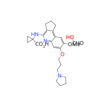 COc1cc2c3c(c(NC4(C(=O)O)CC4)nc2cc1OCCCN1CCCC1)CCC3.O=CO